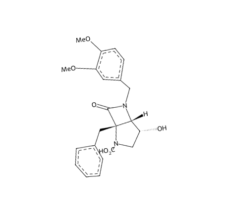 COc1ccc(CN2C(=O)[C@]3(Cc4ccccc4)[C@H]2[C@H](O)CN3C(=O)O)cc1OC